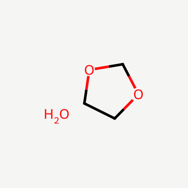 C1COCO1.O